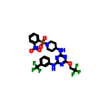 O=[N+]([O-])c1ccccc1S(=O)(=O)N1CCC(Nc2nc(Nc3cccc(C(F)(F)F)c3)nc(OCC(F)(F)F)n2)CC1